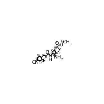 CCOC(=O)N1CCc2c(sc(NC(=O)/C=C/c3ccc(Cl)cc3F)c2N)C1